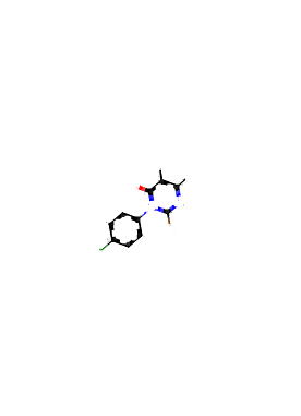 Cc1nc(S)n(-c2ccc(Cl)cc2)c(=O)c1C